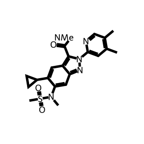 CNC(=O)c1c2cc(C3CC3)c(N(C)S(C)(=O)=O)cc2nn1-c1cc(C)c(C)cn1